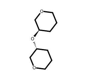 C1COC[C@H](O[C@@H]2CCCOC2)C1